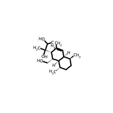 CC1=C[C@@H]2[C@H]([C@H](CO)[C@@H]1C(C)(O)C(C)O)[C@@H](C)CC[C@@H]2C